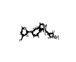 Cc1ccnc(-c2ccc3c(cnn3C3CNC3)c2)c1